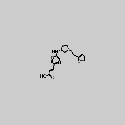 O=C(O)C=Cc1cnc(N[C@@H]2CCN(CCc3cccs3)C2)cn1